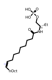 CCCCCCCC/C=C\CCCCCCCC(=O)N[C@@H](CC)COP(=O)(O)O